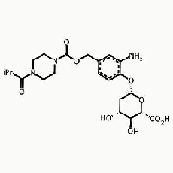 CC(C)C(=O)N1CCN(C(=O)OCc2ccc(O[C@H]3C[C@@H](O)[C@H](O)[C@@H](C(=O)O)O3)c(N)c2)CC1